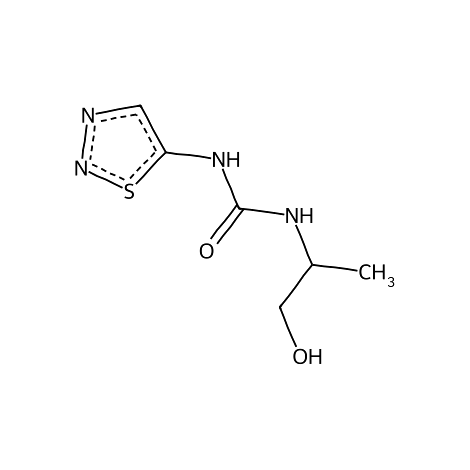 CC(CO)NC(=O)Nc1cnns1